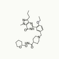 CCCc1nn(C)c2c(=O)[nH]c(-c3cc(CN4CCC(C(=O)NOC5CCCCO5)CC4)ccc3OCC)nc12